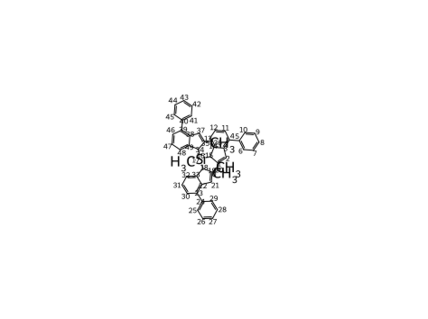 CC1=Cc2c(-c3ccccc3)cccc2C1[Si](C)(C1C(C)=Cc2c(-c3ccccc3)cccc21)C1C(C)=Cc2c(-c3ccccc3)cccc21